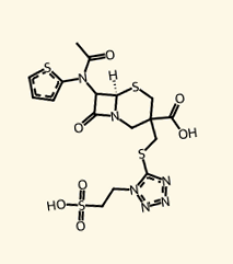 CC(=O)N(c1cccs1)C1C(=O)N2CC(CSc3nnnn3CCS(=O)(=O)O)(C(=O)O)CS[C@H]12